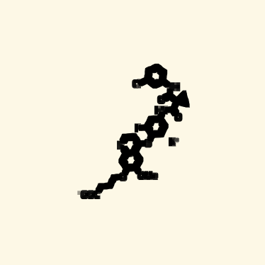 COc1cc2c(Oc3ccc(NC(=O)C4(C(=O)Nc5cccc(Cl)c5)CC4)cc3F)ccnc2cc1OCCCC(=O)[O-].[K+]